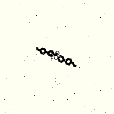 CCCC1CCC(C2CCC(OC(=O)c3ccc(C4CCC(CC)CC4)cc3F)CC2)CC1